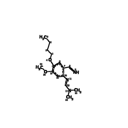 CCCCOc1cc(C=N)c(N=CN(C)C)cc1OC